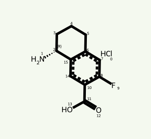 Cl.N[C@@H]1CCCc2cc(F)c(C(=O)O)cc21